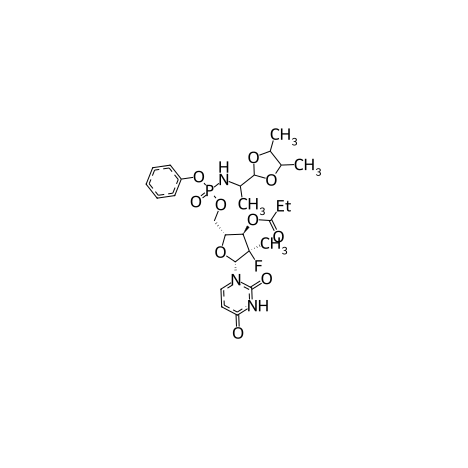 CCC(=O)O[C@@H]1[C@@H](COP(=O)(NC(C)C2OC(C)C(C)O2)Oc2ccccc2)O[C@@H](n2ccc(=O)[nH]c2=O)[C@]1(C)F